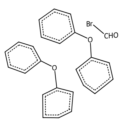 O=CBr.c1ccc(Oc2ccccc2)cc1.c1ccc(Oc2ccccc2)cc1